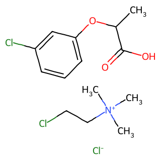 CC(Oc1cccc(Cl)c1)C(=O)O.C[N+](C)(C)CCCl.[Cl-]